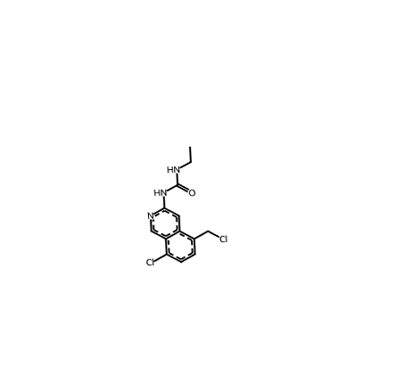 CCNC(=O)Nc1cc2c(CCl)ccc(Cl)c2cn1